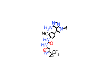 N#Cc1cc(-c2cn(C3CC3)c3ncnc(N)c23)ccc1NC(=O)Nc1cc(C2(C(F)(F)F)CC2)no1